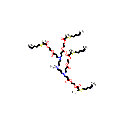 C/C=C\CCCSC(C)C(=O)OCCOC(=O)CCN(CCCN(C)CCCN(CCC(=O)OCCOC(=O)C(C)SCCC/C=C\C)CCC(=O)OCCOC(=O)C(C)SCCC/C=C\C)CCC(=O)OCCOC(=O)C(C)SCCC/C=C\C